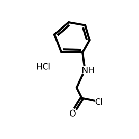 Cl.O=C(Cl)CNc1ccccc1